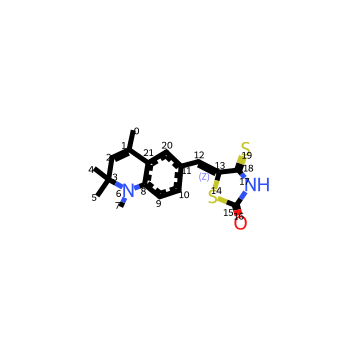 CC1=CC(C)(C)N(C)c2ccc(/C=C3\SC(=O)NC3=S)cc21